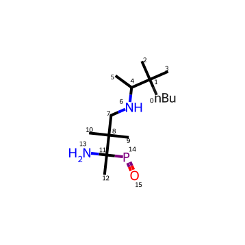 CCCCC(C)(C)C(C)NCC(C)(C)C(C)(N)P=O